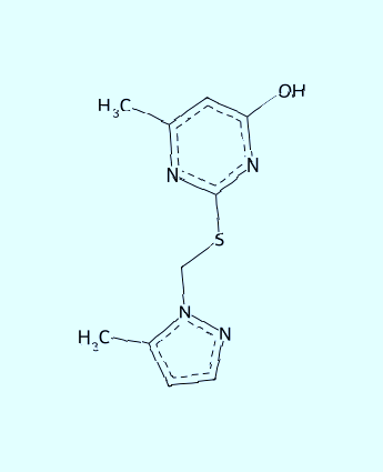 Cc1cc(O)nc(SCn2nccc2C)n1